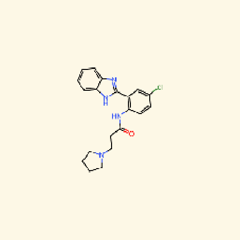 O=C(CCN1CCCC1)Nc1ccc(Cl)cc1-c1nc2ccccc2[nH]1